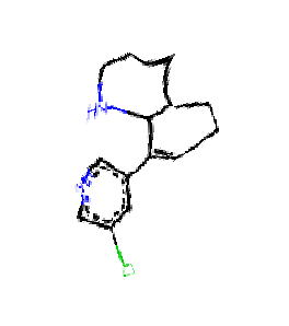 Clc1cncc(C2=CCCC3CCCNC23)c1